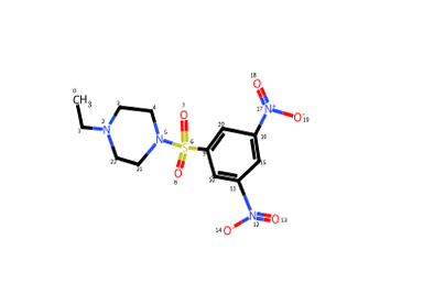 CCN1CCN(S(=O)(=O)c2[c]c([N+](=O)[O-])cc([N+](=O)[O-])c2)CC1